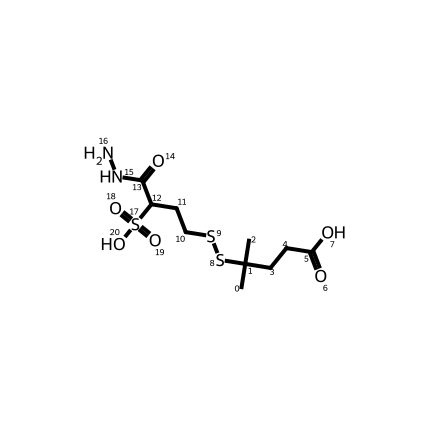 CC(C)(CCC(=O)O)SSCCC(C(=O)NN)S(=O)(=O)O